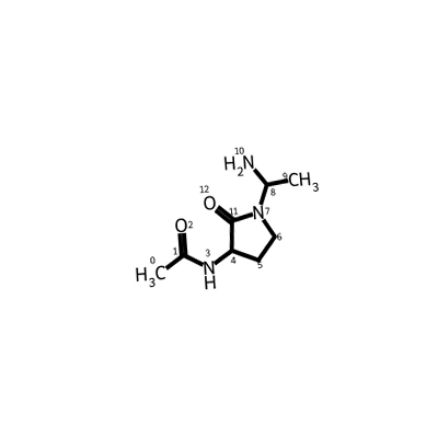 CC(=O)NC1CCN(C(C)N)C1=O